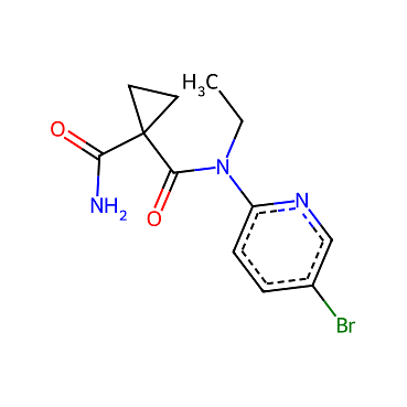 CCN(C(=O)C1(C(N)=O)CC1)c1ccc(Br)cn1